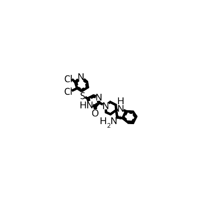 N[C@@H]1c2ccccc2NC12CCN(c1ncc(Sc3ccnc(Cl)c3Cl)[nH]c1=O)CC2